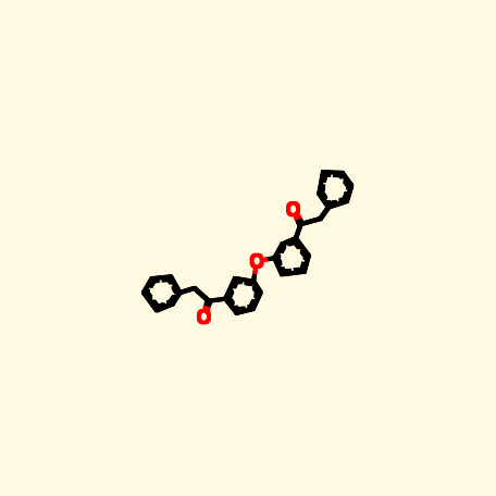 O=C(Cc1ccccc1)c1cccc(Oc2cccc(C(=O)Cc3ccccc3)c2)c1